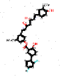 COc1cc(/C=C/C(=O)/C=C(O)/C=C/c2ccc(O)c(OC)c2)cc(OC(=O)c2cc(-c3ccc(F)cc3F)ccc2O)c1